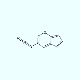 [N-]=[N+]=Nc1coc2cccc-2c1